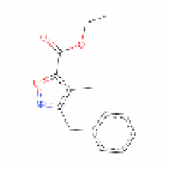 CCOC(=O)c1onc(Cc2ccccc2)c1C